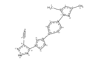 Cc1cc(C)n(-c2ccc(-c3ccc(-c4n[nH]nc4C#N)s3)cc2)n1